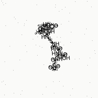 CCC(=O)O[C@]1(C(=O)COC(=O)NCCSCNC(=O)CNC(=O)[C@H](CCC(=O)O)NC(=O)CNC(=O)CCN2C(=O)C=CC2=O)[C@H](C)C[C@H]2[C@@H]3CCC4=CC(=O)C=C[C@]4(C)[C@@]3(Cl)[C@@H](O)C[C@@]21C